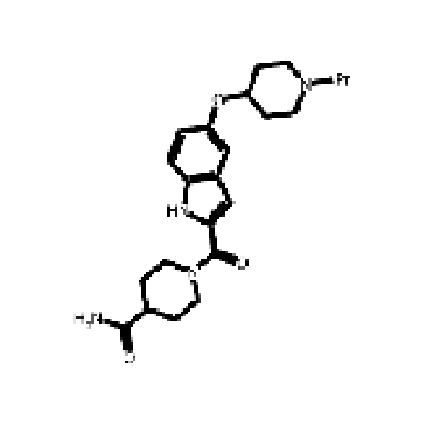 CC(C)N1CCC(Oc2ccc3[nH]c(C(=O)N4CCC(C(N)=O)CC4)cc3c2)CC1